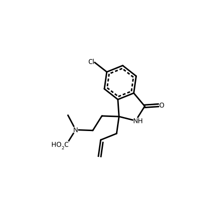 C=CCC1(CCN(C)C(=O)O)NC(=O)c2ccc(Cl)cc21